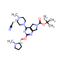 CN1CCC[C@H]1COc1nc2c(c(N3CCN(C)[C@@H](CC#N)C3)n1)CN(C(=O)OC(C)(C)C)C2